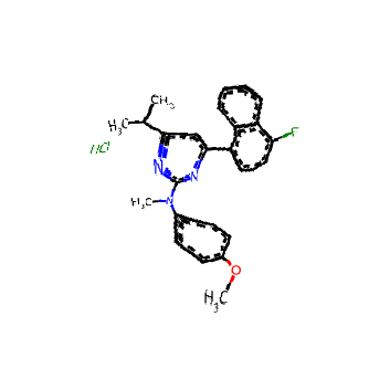 COc1ccc(N(C)c2nc(-c3ccc(F)c4ccccc34)cc(C(C)C)n2)cc1.Cl